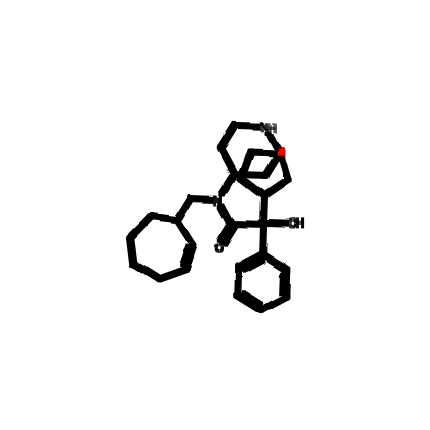 O=C(N(CC1C=CCCCC1)C1CCNCC1)C(O)(c1ccccc1)C1CCCC1